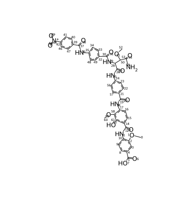 COc1cc(C(=O)O)ccc1NC(=O)c1ccc(NC(=O)c2ccc(NC(=O)C(NC(=O)c3ccc(NC(=O)c4ccc([N+](=O)[O-])cc4)cc3)C(OC)C(N)=O)cc2)c(OC)c1O